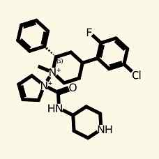 C[N+]1([N+]2(C(=O)NC3CCNCC3)CC=CC2)CCC(c2cc(Cl)ccc2F)C[C@H]1c1ccccc1